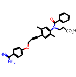 Cc1cc(N(CCC(=O)O)C(=O)c2ccccc2)c(C)cc1C#CCOc1ccc(C(=N)N)cc1